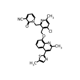 Cc1cc(Cl)c(COc2cccc3c(-c4ncc(C)s4)cc(C)nc23)c(Cn2cccc(C#N)c2=O)n1